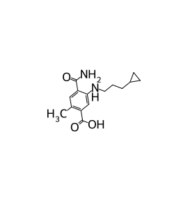 Cc1cc(C(N)=O)c(NCCCC2CC2)cc1C(=O)O